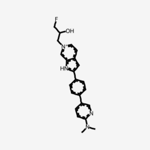 CN(C)c1ccc(-c2ccc(-c3cc4cc[n+](CC(O)CF)cc4[nH]3)cc2)cn1